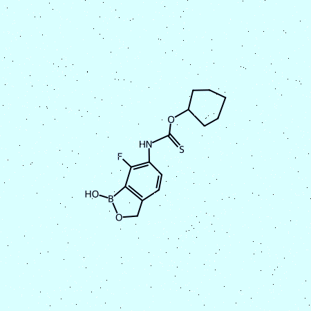 OB1OCc2ccc(NC(=S)OC3CCCCC3)c(F)c21